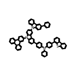 c1ccc(-c2ccc3c(c2)c2ccccc2n3-c2ccc3c(c2)c2cc(-c4ccc(N(c5ccccc5)c5ccc(-c6cccc7c6sc6ccccc67)cc5)cc4)ccc2n3-c2ccc3c4ccccc4c4ccccc4c3c2)cc1